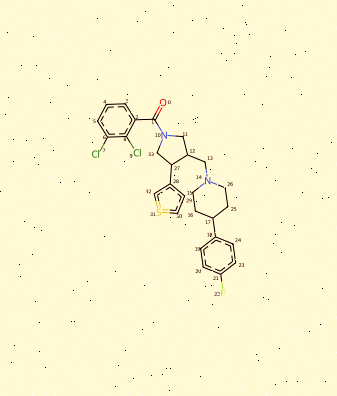 O=C(c1cccc(Cl)c1Cl)N1CC(CN2CCC(c3ccc(F)cc3)CC2)C(c2ccsc2)C1